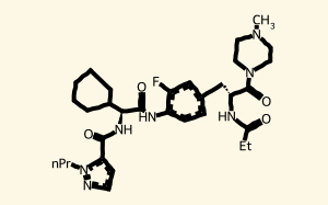 CCCn1nccc1C(=O)N[C@H](C(=O)Nc1ccc(C[C@@H](NC(=O)CC)C(=O)N2CCN(C)CC2)cc1F)C1CCCCC1